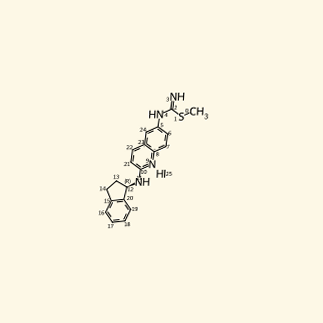 CSC(=N)Nc1ccc2nc(N[C@@H]3CCc4ccccc43)ccc2c1.I